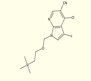 C[Si](C)(C)CCOCn1cc(I)c2c(Cl)c(C#N)cnc21